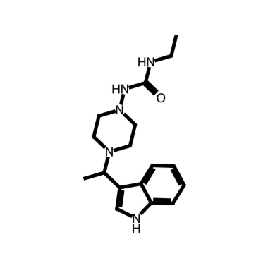 CCNC(=O)NN1CCN(C(C)c2c[nH]c3ccccc23)CC1